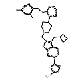 Cc1nnc(-c2ccc3c(c2)nc(CN2CCC(c4cccnc4OCc4ccc(Cl)cc4F)CC2)n3CC2CCO2)[nH]1